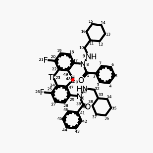 O=C(c1ccccc1)N(NCC1CCCCC1)c1ccc(F)[c]([Ti][c]2c(F)ccc(N(NCC3CCCCC3)C(=O)c3ccccc3)c2F)c1F